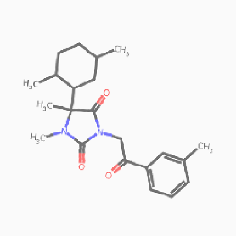 Cc1cccc(C(=O)CN2C(=O)N(C)C(C)(C3CC(C)CCC3C)C2=O)c1